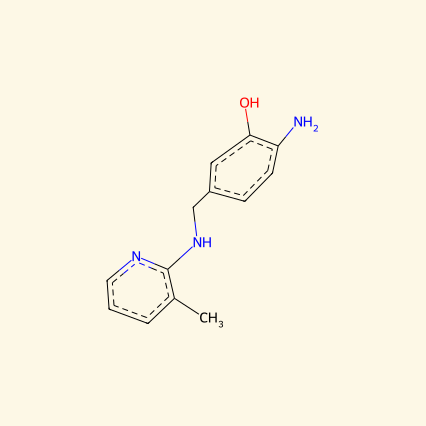 Cc1cccnc1NCc1ccc(N)c(O)c1